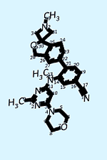 Cc1nc(N2CCOCC2)cc(N(C)c2cc(C#N)ccc2-c2ccc3c(c2)COC32CN(C)C2)n1